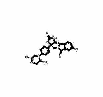 CC[C@H]1CN(c2ccc([C@]3(CN4Cc5ccc(Cl)cc5C4=O)NC(=O)NC3=O)cc2)C(C)CN1